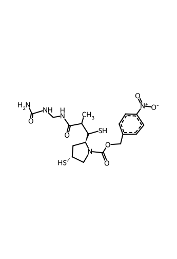 CC(C(=O)NCNC(N)=O)C(S)[C@@H]1C[C@@H](S)CN1C(=O)OCc1ccc([N+](=O)[O-])cc1